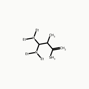 C=C([SiH3])C(C)C(N(CC)CC)N(CC)CC